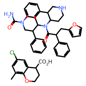 Cc1cc(Cl)cc2c1OCCC2C(=O)O.NC(=O)N1CCC(N(C(=O)C(Cc2ccco2)c2ccccc2)C2CCNCC2c2ccccc2)C(c2ccccc2)C1